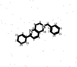 C1=C(c2ccc3c(n2)CCN(Cc2ccccc2)C3)CCCC1